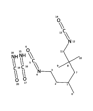 CC(CCN=C=O)CC(C)(C)CN=C=O.N=C=O.N=C=O